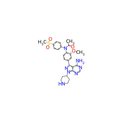 COc1cc(-c2nn(C3CCNCC3)c3ncnc(N)c23)ccc1N(C(C)=O)c1ccc(S(C)(=O)=O)cc1